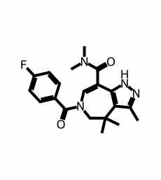 Cc1n[nH]c2c1C(C)(C)CN(C(=O)c1ccc(F)cc1)C=C2C(=O)N(C)C